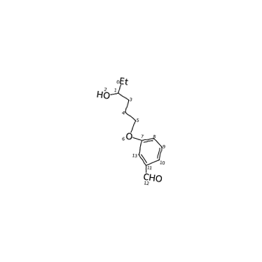 CCC(O)CCCOc1cccc(C=O)c1